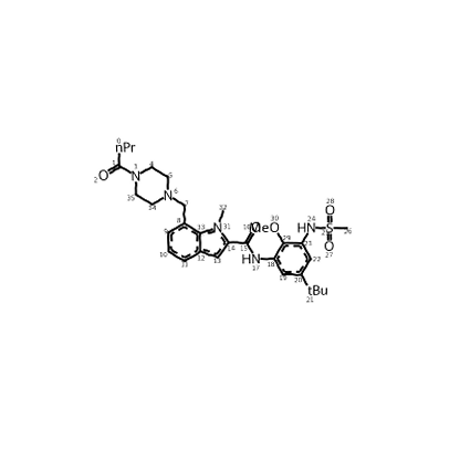 CCCC(=O)N1CCN(Cc2cccc3cc(C(=O)Nc4cc(C(C)(C)C)cc(NS(C)(=O)=O)c4OC)n(C)c23)CC1